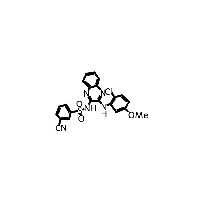 COc1ccc(Cl)c(Nc2nc3ccccc3nc2NS(=O)(=O)c2cccc(C#N)c2)c1